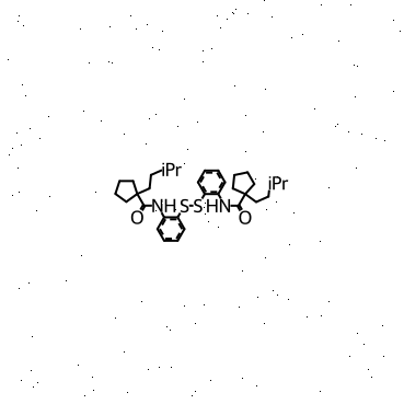 CC(C)CCC1(C(=O)Nc2ccccc2SSc2ccccc2NC(=O)C2(CCC(C)C)CCCC2)CCCC1